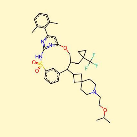 Cc1cccc(C)c1-c1cc2nc(n1)NS(=O)(=O)c1cccc(c1)C(C1CC3(CCN(CCOC(C)C)CC3)C1)[C@H](CC1(C(F)(F)F)CC1)CO2